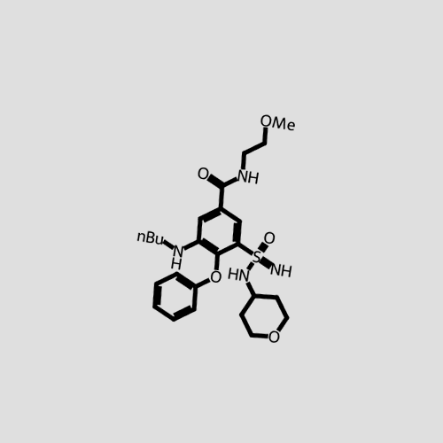 CCCCNc1cc(C(=O)NCCOC)cc(S(=N)(=O)NC2CCOCC2)c1Oc1ccccc1